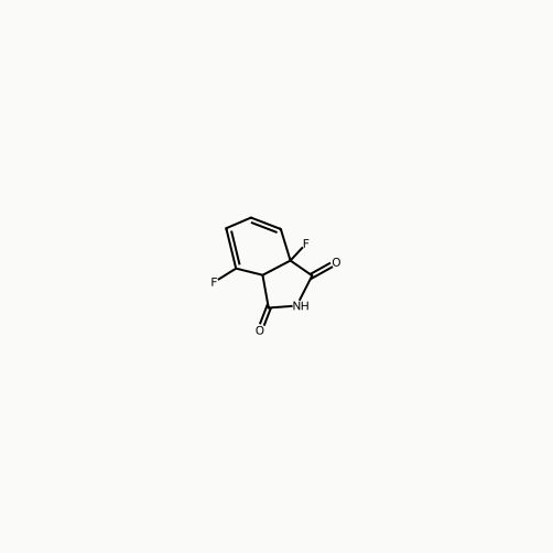 O=C1NC(=O)C2(F)C=CC=C(F)C12